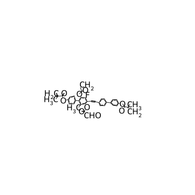 C=CC(=O)Oc1c(F)c(C#Cc2ccc(-c3ccc(OC(=O)C(=C)C)cc3)cc2)c(OC(=O)C=O)c(C)c1-c1ccc(OC(=O)C(=C)C)cc1